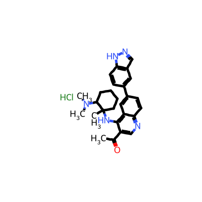 CC(=O)c1cnc2ccc(-c3ccc4[nH]ncc4c3)cc2c1NC1(C)CCCCC1N(C)C.Cl